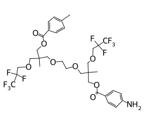 Cc1ccc(C(=O)OCC(C)(COCCOCC(C)(COCC(F)(F)C(F)(F)F)COC(=O)c2ccc(N)cc2)COCC(F)(F)C(F)(F)F)cc1